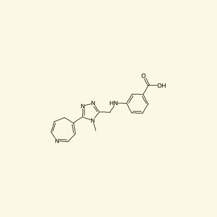 Cn1c(CNc2cccc(C(=O)O)c2)nnc1C1=CC=NC=CC1